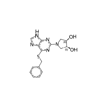 O[C@@H]1CN(c2nc(SCc3ccccc3)c3nc[nH]c3n2)C[C@@H]1O